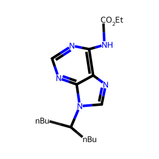 CCCCC(CCCC)n1cnc2c(NC(=O)OCC)ncnc21